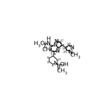 CB(O)N1CCCC(c2cc(NC(C)C)n3ncc(-c4cnn(C)c4)c3n2)C1